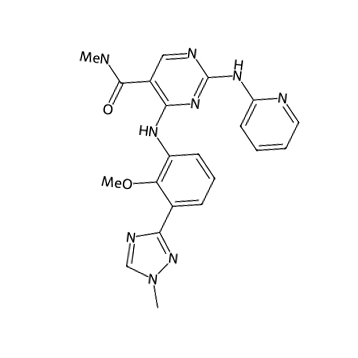 CNC(=O)c1cnc(Nc2ccccn2)nc1Nc1cccc(-c2ncn(C)n2)c1OC